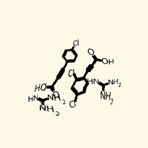 N=C(N)N.N=C(N)N.O=C(O)C#Cc1ccc(Cl)cc1.O=C(O)C#Cc1ccc(Cl)cc1Cl